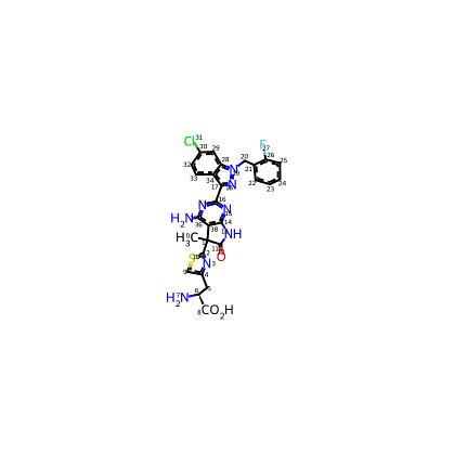 CC1(c2nc(C[C@H](N)C(=O)O)cs2)C(=O)Nc2nc(-c3nn(Cc4ccccc4F)c4cc(Cl)ccc34)nc(N)c21